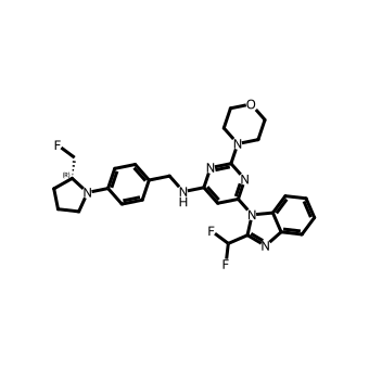 FC[C@H]1CCCN1c1ccc(CNc2cc(-n3c(C(F)F)nc4ccccc43)nc(N3CCOCC3)n2)cc1